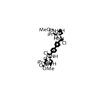 COO/C=N\[C@H](C(=O)N1[C@@H]2C[C@@H]2C[C@H]1c1nc(Cl)c(-c2ccc(C34CCC(c5[nH]c([C@@H]6C[C@H]7C[C@H]7N6C(=O)[C@@H](NC(=O)OC)C(C)C)nc5Cl)(CC3)CC4)cc2)[nH]1)C(C)C